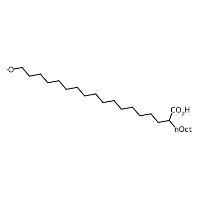 CCCCCCCCC(CCCCCCCCCCCCCCCC[O])C(=O)O